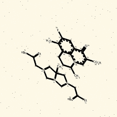 CCCCC(CC)CN1CN2CN(CC(CC)CCCC)CC2(C)C1.Cc1c(F)cc2c(=O)c(C(=O)O)cn3c2c1CCC3C